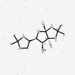 CC1(C)OCC([C@H]2O[C@@H]3OC(C)(C)O[C@H]3[C@H]2O)O1